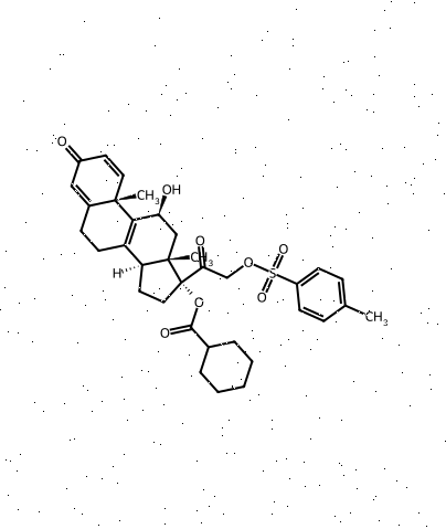 Cc1ccc(S(=O)(=O)OCC(=O)[C@@]2(OC(=O)C3CCCCC3)CC[C@H]3C4=C([C@@H](O)C[C@@]32C)[C@@]2(C)C=CC(=O)C=C2CC4)cc1